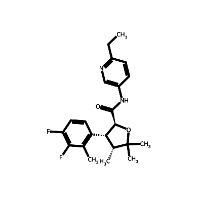 CCc1ccc(NC(=O)[C@H]2OC(C)(C)[C@H](C)[C@@H]2c2ccc(F)c(F)c2C)cn1